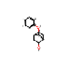 [O]C1CC2CCC1CC2Oc1[c]cccc1